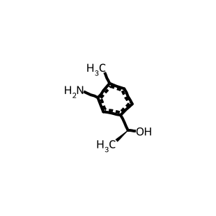 Cc1ccc([C@H](C)O)cc1N